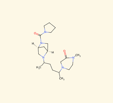 CC(CCC(C)N1C[C@@H]2C[C@H]1CN2C(=O)N1CCCC1)N1CCN(C)C(=O)C1